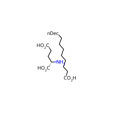 CCCCCCCCCCCCCCCCCC(=O)O.N[C@@H](CCC(=O)O)C(=O)O